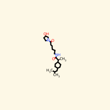 CC(C)CC1CCC([C@H](C)C(=O)NCCCCCC(=O)N2CC[C@@H](O)C2)CC1